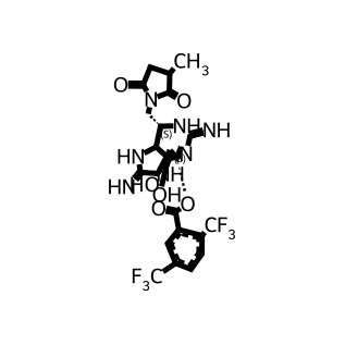 CC1CC(=O)N(C[C@@H]2NC(=N)N3C[C@H](OC(=O)c4cc(C(F)(F)F)ccc4C(F)(F)F)C(O)(O)C34NC(=N)NC24)C1=O